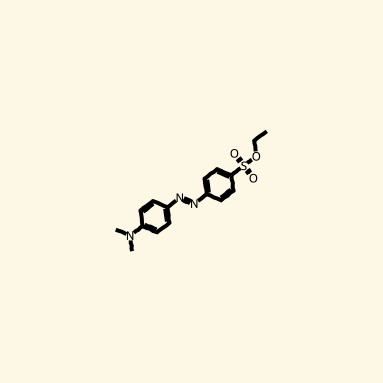 CCOS(=O)(=O)c1ccc(N=Nc2ccc(N(C)C)cc2)cc1